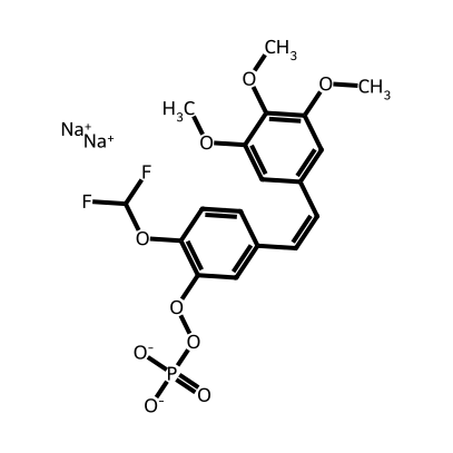 COc1cc(/C=C\c2ccc(OC(F)F)c(OOP(=O)([O-])[O-])c2)cc(OC)c1OC.[Na+].[Na+]